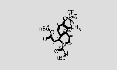 CCCCOC(=O)CC1c2ccc(OS(=O)(=O)C(F)(F)F)c(C)c2CCN1C(=O)OC(C)(C)C